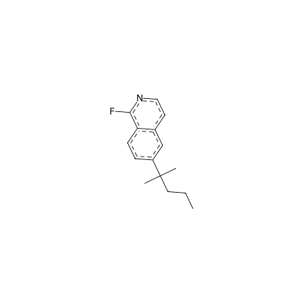 CCCC(C)(C)c1ccc2c(F)nccc2c1